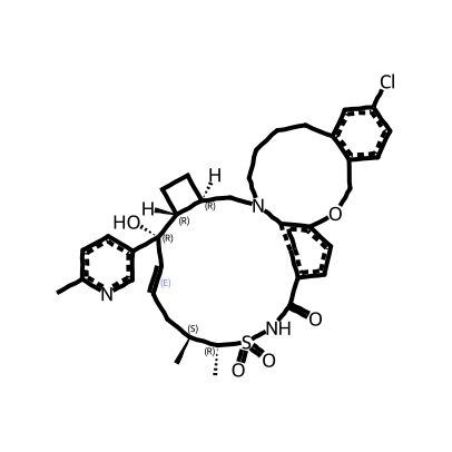 Cc1ccc([C@]2(O)/C=C/C[C@H](C)[C@@H](C)S(=O)(=O)NC(=O)c3ccc4c(c3)N(CCCCc3cc(Cl)ccc3CO4)C[C@@H]3CC[C@H]32)cn1